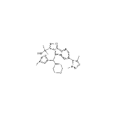 Cc1coc(C(C2CCOCC2)n2c3cc(-c4c(C)nnn4C)cnc3c3snc(C(C)(C)O)c32)c1